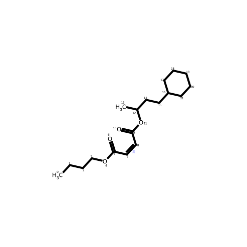 CCCCOC(=O)/C=C\C(=O)OC(C)CCC1CCCCC1